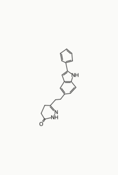 O=C1CCC(CCc2ccc3[nH]c(-c4ccccc4)cc3c2)=NN1